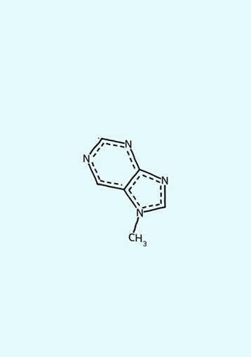 Cn1cnc2n[c]ncc21